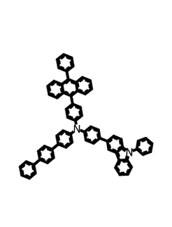 c1ccc(-c2ccc(-c3ccc(N(c4ccc(-c5ccc6c(c5)c5ccccc5n6-c5ccccc5)cc4)c4ccc(-c5c6ccccc6c(-c6ccccc6)c6ccccc56)cc4)cc3)cc2)cc1